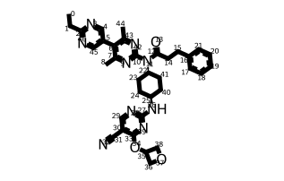 CCc1ncc(-c2c(C)nc(N(C(=O)CCc3ccccc3)[C@H]3CC[C@H](Nc4ncc(C#N)c(OC5COC5)n4)CC3)nc2C)cn1